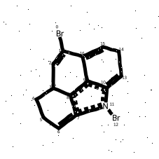 BrC1=CC2CCC=c3c2c2c(n3Br)=CCC=C12